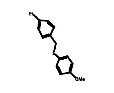 CCc1ccc(CSc2ccc(OC)cc2)cc1